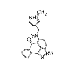 C=C/C=C(\C=C/N)CNc1ccc2[nH]nc3c2c1C(=O)c1ccccc1-3